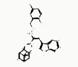 Cc1ccc([N+](=O)[O-])c(CSNC(Cc2coc3ccccc23)B2OC3CC4CC(C3O2)C4(C)C)c1